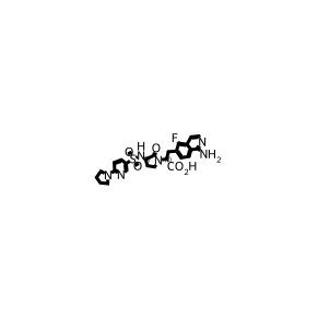 Nc1nccc2c(F)c(C[C@H](C(=O)O)N3CC[C@H](NS(=O)(=O)c4ccc(N5CCCC5)nc4)C3=O)ccc12